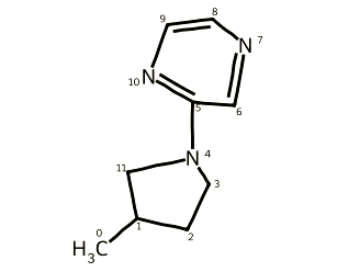 CC1CCN(c2cnccn2)C1